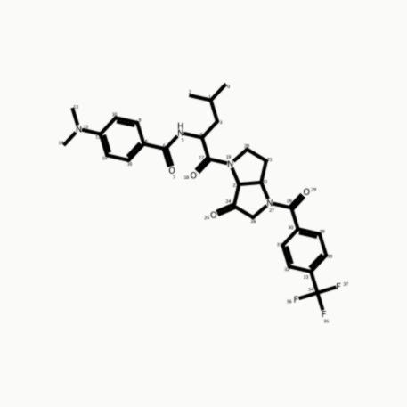 CC(C)CC(NC(=O)c1ccc(N(C)C)cc1)C(=O)N1CCC2C1C(=O)CN2C(=O)c1ccc(C(F)(F)F)cc1